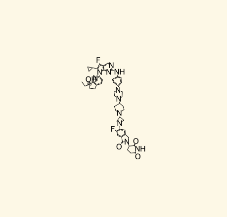 CC[C@@]1(O)CCc2ccc(-n3c(C4CC4)c(F)c4cnc(Nc5ccc(N6CCN(C7CCN(C8CN(c9cc%10c(cc9F)C(=O)N(C9CCC(=O)NC9=O)C%10)C8)CC7)CC6)cc5)nc43)nc21